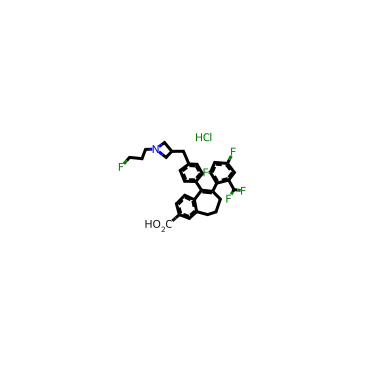 Cl.O=C(O)c1ccc2c(c1)CCCC(c1c(F)cc(F)cc1C(F)F)=C2c1ccc(CC2CN(CCCF)C2)cc1